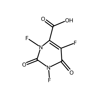 O=C(O)c1c(F)c(=O)n(F)c(=O)n1F